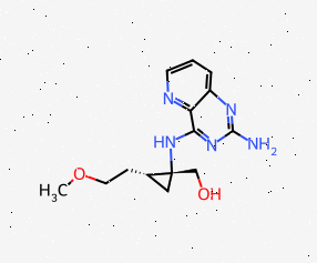 COCC[C@H]1C[C@@]1(CO)Nc1nc(N)nc2cccnc12